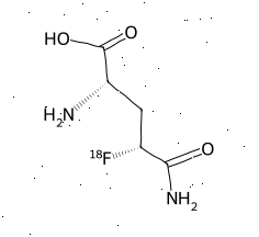 NC(=O)[C@H]([18F])C[C@H](N)C(=O)O